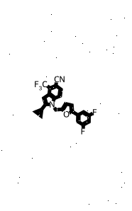 N#Cc1ccc2c(cc(C3CC3)n2Cc2ccc(-c3cc(F)cc(F)c3)o2)c1C(F)(F)F